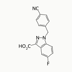 N#Cc1ccc(Cn2nc(C(=O)O)c3cc(F)ccc32)cc1